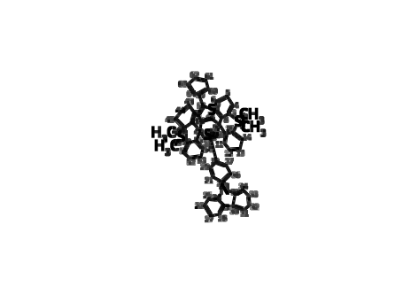 C[Si]1(C)c2ccccc2C2(c3ccccc31)c1cc(-c3ccc(-n4c5ccccc5c5ccccc54)cc3)sc1C1(c3ccccc3[Si](C)(C)c3ccccc31)c1cc(-c3ccccc3)sc12